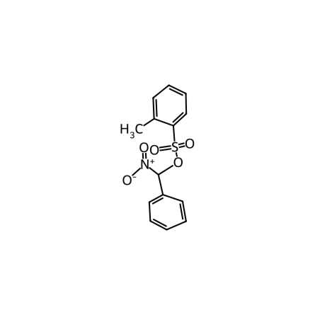 Cc1ccccc1S(=O)(=O)OC(c1ccccc1)[N+](=O)[O-]